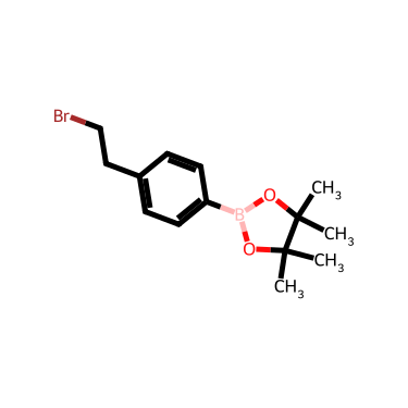 CC1(C)OB(c2ccc(CCBr)cc2)OC1(C)C